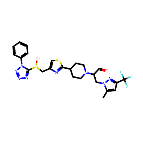 Cc1cc(C(F)(F)F)nn1CC(C=O)N1CCC(c2nc(C[S+]([O-])c3nnnn3-c3ccccc3)cs2)CC1